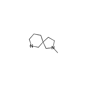 CN1CCC2(CCC[N]C2)C1